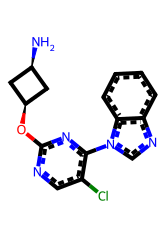 N[C@H]1C[C@@H](Oc2ncc(Cl)c(-n3cnc4ccccc43)n2)C1